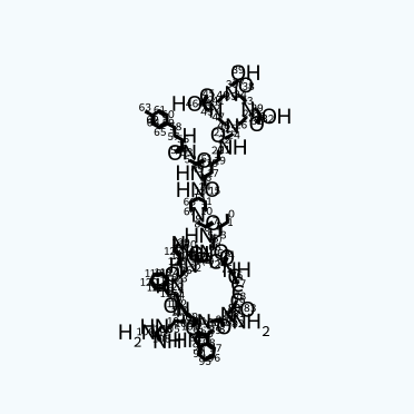 CCCC[C@H](NC(=O)CN1CCC(NC(=O)C(CCCCNC(=O)CN2CCN(CC(=O)O)CCN(CC(=O)O)CCN(CC(=O)O)CC2)NC(=O)CNC(=O)CCCc2ccc(C)cc2)CC1)C(=O)N[C@H]1CC(=O)NCCCC[C@@H](C(N)=O)N(C)C(=O)[C@H](Cc2c[nH]c3ccccc23)NC(=O)[C@H](CCCNC(=N)N)N(C)C(=O)[C@@H](Cc2ccccc2)NC(=O)[C@H](Cc2cnc[nH]2)NC1=O